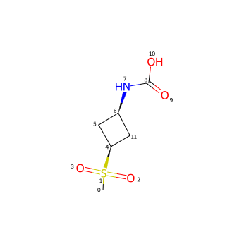 CS(=O)(=O)[C@H]1C[C@@H](NC(=O)O)C1